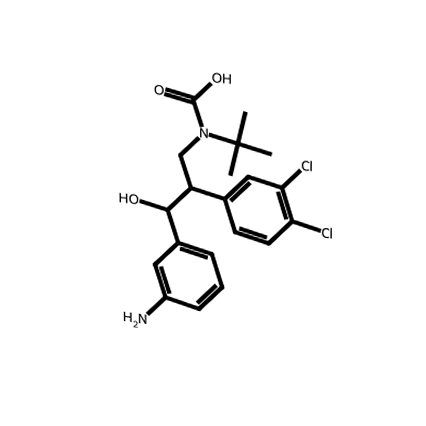 CC(C)(C)N(CC(c1ccc(Cl)c(Cl)c1)C(O)c1cccc(N)c1)C(=O)O